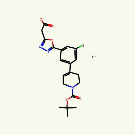 CC(C)(C)OC(=O)N1CC=C(c2cc(Cl)cc(-c3nnc(CC(=O)[O-])o3)c2)CC1.[Li+]